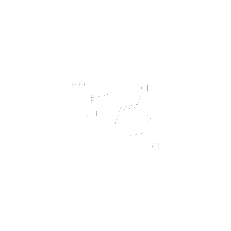 Cc1nc(Cl)ccc1OB(O)O